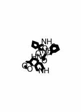 NC(=O)C1(C(=O)N[C@H](Cc2ccccc2)C(=O)NC(CC2COCOC2)C2CCNCC2)CCCC1